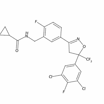 O=C(NCc1cc(C2=NOC(c3cc(Cl)c(F)c(Cl)c3)(C(F)(F)F)C2)ccc1F)C1CC1